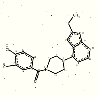 CCc1cc2c(N3CCN(C(=O)c4ccc(Cl)c(Cl)c4)CC3)ncnc2s1